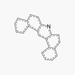 c1ccc2c(c1)ccc1nc3ccc4ccccc4c3cc12